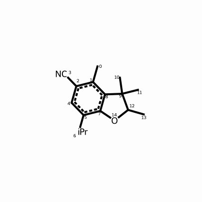 Cc1c(C#N)cc(C(C)C)c2c1C(C)(C)C(C)O2